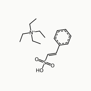 CC[N+](CC)(CC)CC.O=S(=O)(O)C=Cc1ccccc1